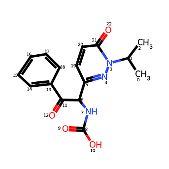 CC(C)n1nc(C(NC(=O)O)C(=O)c2ccccc2)ccc1=O